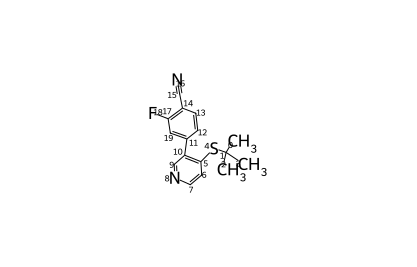 CC(C)(C)Sc1ccncc1-c1ccc(C#N)c(F)c1